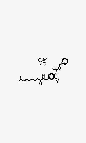 COc1cc(CNC(=O)CCCCC=CC(C)C)ccc1OC(=O)OC[n+]1ccccc1.CS(=O)(=O)[O-]